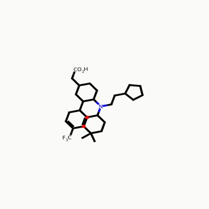 CC1(C)CCC(N(CCC2CCCC2)C2CCC(CC(=O)O)CC2C2C=CC(C(F)(F)F)=CC2)CC1